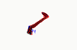 O=C(CCOCCOCCOCCOCCOCCOCCOCCOCCOCCOCCOCCOCCn1cc(-c2ccc(NC(=O)C3CC(=O)N(c4ccccc4)C3)cc2)nn1)ON1C(=O)CCC1=O